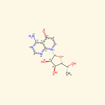 C[C@@H](O)[C@H]1O[C@@H](n2ccc(=O)c3c(N)ncnc32)[C@H](O)[C@@H]1O